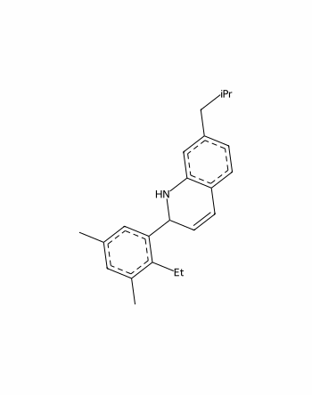 CCc1c(C)cc(C)cc1C1C=Cc2ccc(CC(C)C)cc2N1